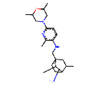 Cc1nc(N2CC(C)OC(C)C2)ccc1NCC12CCC(C(C)C1)C(N)C(C)C2